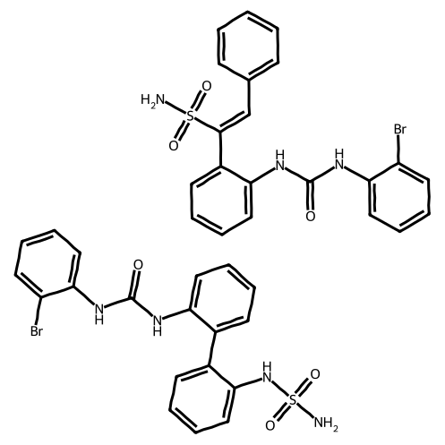 NS(=O)(=O)C(=Cc1ccccc1)c1ccccc1NC(=O)Nc1ccccc1Br.NS(=O)(=O)Nc1ccccc1-c1ccccc1NC(=O)Nc1ccccc1Br